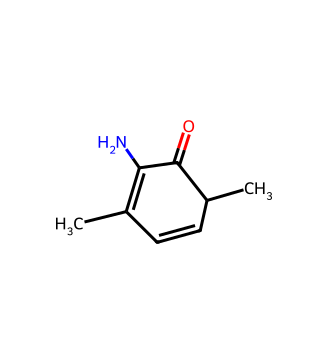 CC1=C(N)C(=O)C(C)C=C1